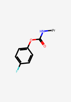 CC(C)NC(=O)Oc1ccc(F)cc1